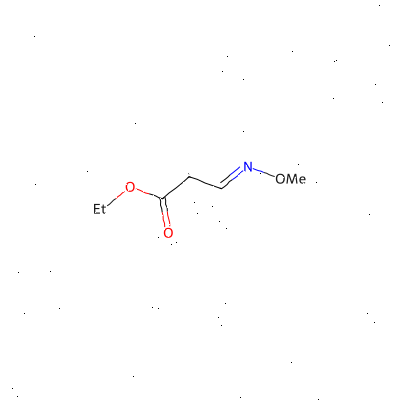 CCOC(=O)[CH]C=NOC